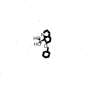 OB(O)c1c(OCc2ccccc2)ccc2cccnc12